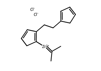 C[C](C)=[Zr+2][C]1=C(CCC2=CC=CC2)C=CC1.[Cl-].[Cl-]